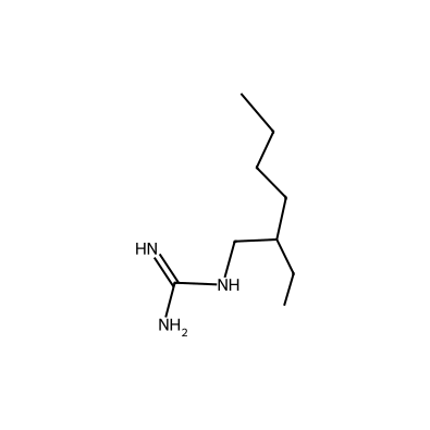 CCCCC(CC)CNC(=N)N